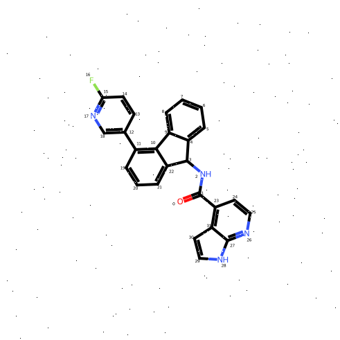 O=C(NC1c2ccccc2-c2c(-c3ccc(F)nc3)cccc21)c1ccnc2[nH]ccc12